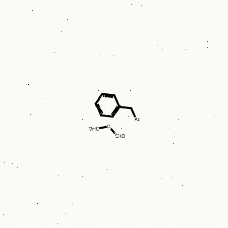 CC(=O)Cc1ccccc1.O=COC=O